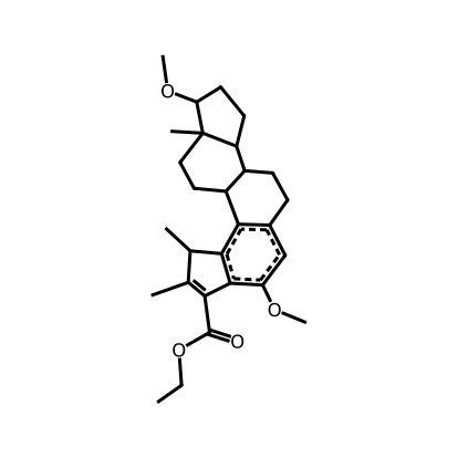 CCOC(=O)C1=C(C)C(C)c2c1c(OC)cc1c2C2CCC3(C)C(OC)CCC3C2CC1